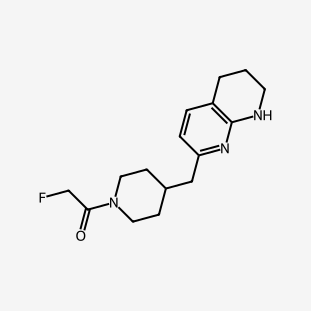 O=C(CF)N1CCC(Cc2ccc3c(n2)NCCC3)CC1